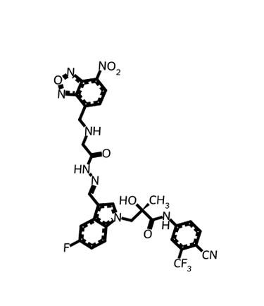 C[C@](O)(Cn1cc(C=NNC(=O)CNCc2ccc([N+](=O)[O-])c3nonc23)c2cc(F)ccc21)C(=O)Nc1ccc(C#N)c(C(F)(F)F)c1